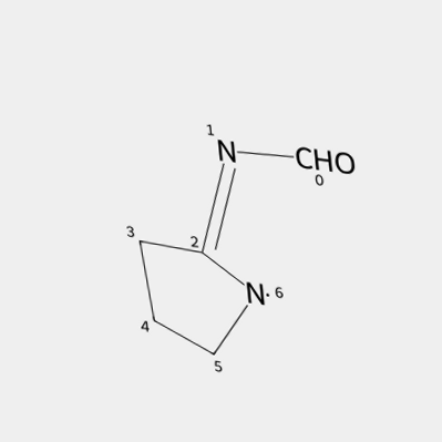 O=CN=C1CCC[N]1